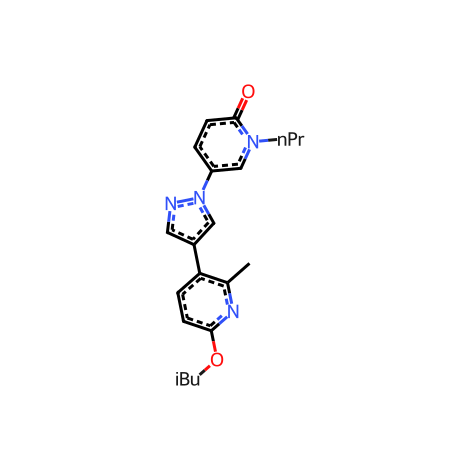 CCCn1cc(-n2cc(-c3ccc(OC(C)CC)nc3C)cn2)ccc1=O